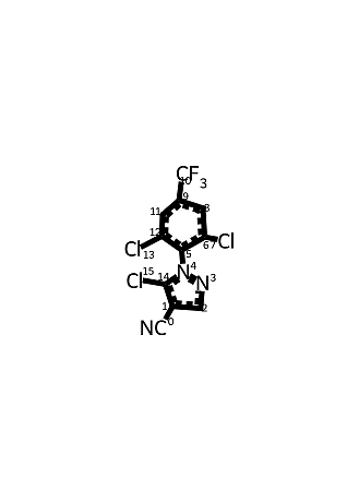 N#Cc1cnn(-c2c(Cl)cc(C(F)(F)F)cc2Cl)c1Cl